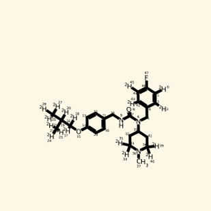 [2H]c1c([2H])c(CN(C(=O)NCc2ccc(OC([2H])([2H])C([2H])(C([2H])([2H])[2H])C([2H])([2H])[2H])cc2)C2CC([2H])([2H])N(C)C([2H])([2H])C2)c([2H])c([2H])c1F